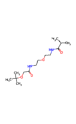 CC(C)C(=O)NCCOCCNC(=O)COC(C)(C)C